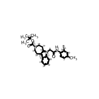 Cc1ccc(NC(=O)Cn2c3c(c4ccccc42)CCN(C(=O)OC(C)(C)C)CC3)c(F)c1